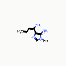 C=C/C=C(/N)c1ncn(C(C)C)c1N